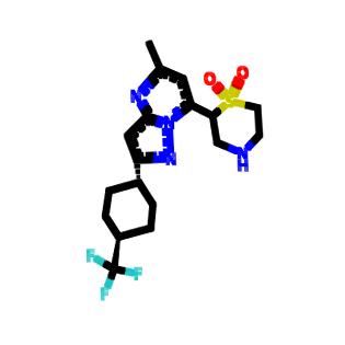 Cc1cc(C2CNCCS2(=O)=O)n2nc([C@H]3CC[C@H](C(F)(F)F)CC3)cc2n1